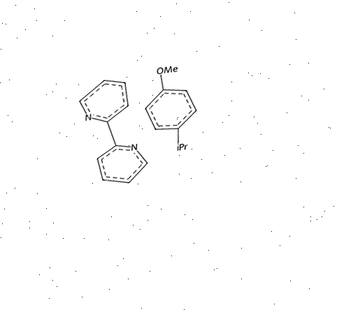 COc1ccc(C(C)C)cc1.c1ccc(-c2ccccn2)nc1